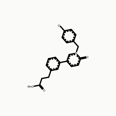 COC(=O)CCc1cccc(-c2ccc(=O)n(Cc3ccc(Cl)cc3)c2)c1